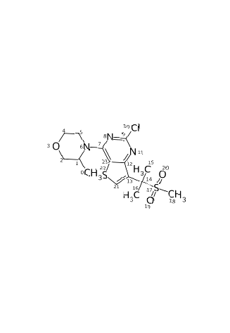 CC1COCCN1c1nc(Cl)nc2c(C(C)(C)S(C)(=O)=O)csc12